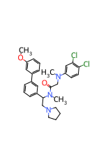 COc1cccc(-c2cccc(C(CN3CCCC3)N(C)C(=O)CN(C)c3ccc(Cl)c(Cl)c3)c2)c1